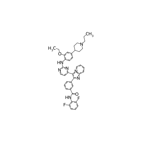 CCCN1CCC(c2ccc(Nc3nccc(-c4c(-c5cccc(C(=O)Nc6c(F)cccc6F)c5)nc5ccccn45)n3)c(OCC)c2)CC1